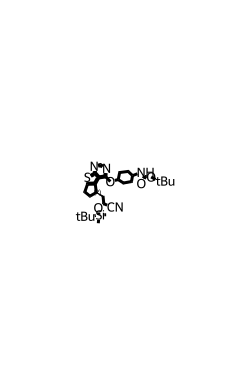 CC(C)(C)OC(=O)NC1CCC(Oc2ncnc3sc4c(c23)[C@@H](CC(C#N)O[Si](C)(C)C(C)(C)C)CC4)CC1